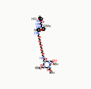 COc1cccc(OC)c1/C(=C/C(=N)C(=O)NC1(C(=O)O)C2CC3CC(C2)C1C3)Nc1ccc(NCCOCCOCCOCCOCCOCCNC(=O)CN2CCN(CC(=O)OC(C)(C)C)CCN(CC(=O)OC(C)(C)C)CCN(CC(O)OC(C)(C)C)CC2)cc1C(C)C